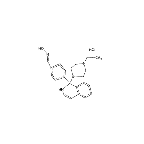 CCN1CCN(C2(c3ccc(C=NO)cc3)NC=Cc3ccccc32)CC1.Cl